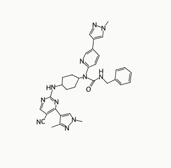 Cc1nn(C)cc1-c1nc(NC2CCC(N(C(=O)NCc3ccccc3)c3ccc(-c4cnn(C)c4)cn3)CC2)ncc1C#N